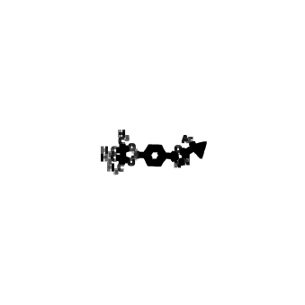 CC(=O)C1(c2nnc(-c3ccc(B4OC(C)(C)C(C)(C)O4)cc3)o2)CC1